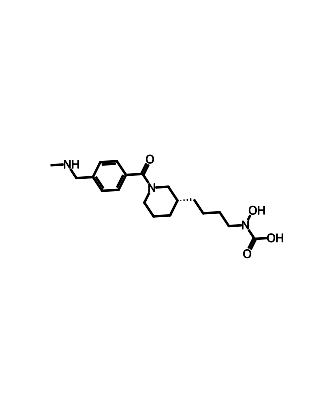 CNCc1ccc(C(=O)N2CCC[C@@H](CCCCN(O)C(=O)O)C2)cc1